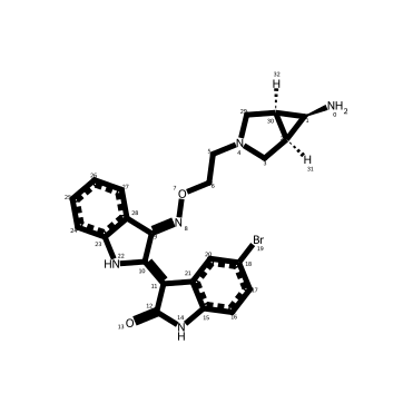 N[C@H]1[C@H]2CN(CCO/N=C3/C(=C4/C(=O)Nc5ccc(Br)cc54)Nc4ccccc43)C[C@@H]12